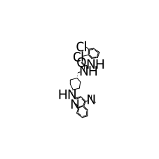 CN(C)c1cc(N[C@H]2CC[C@@H](CNC(=O)Nc3cccc(Cl)c3Cl)CC2)nc2ccccc12